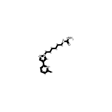 Cc1cccc(-c2cnn(CCCCCCOC(N)=O)c2)n1